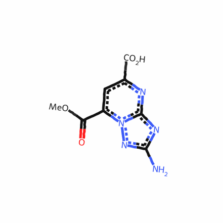 COC(=O)c1cc(C(=O)O)nc2nc(N)nn12